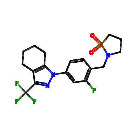 O=S1(=O)CCCN1Cc1ccc(-n2nc(C(F)(F)F)c3c2CCCC3)cc1F